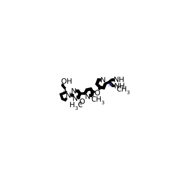 CN/C=C(\C=N)c1cc(Oc2ccc(-c3cnc(N4CCC[C@H]4CCO)nc3OC)nc2C)ccn1